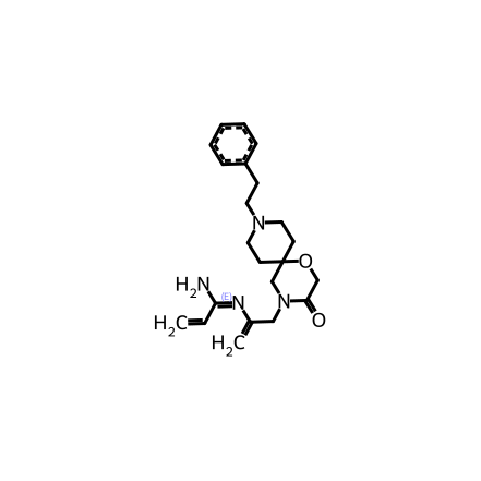 C=C/C(N)=N\C(=C)CN1CC2(CCN(CCc3ccccc3)CC2)OCC1=O